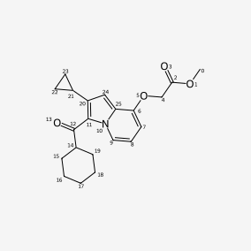 COC(=O)COc1cccn2c(C(=O)C3CCCCC3)c(C3CC3)cc12